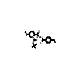 CCc1ccc(C(=O)NNC(=O)C2=CCC(SC)CN2C(=O)OC(C)(C)C)cc1